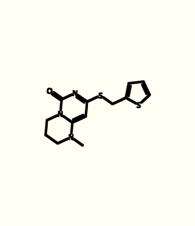 CN1CCCn2c1cc(SCc1cccs1)nc2=O